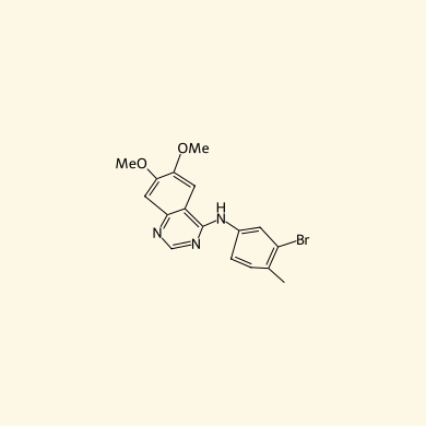 COc1cc2ncnc(Nc3ccc(C)c(Br)c3)c2cc1OC